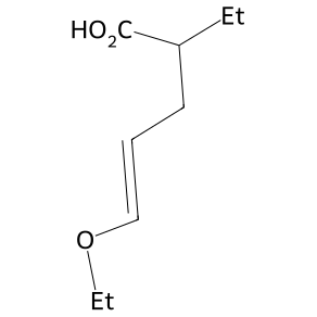 CCOC=CCC(CC)C(=O)O